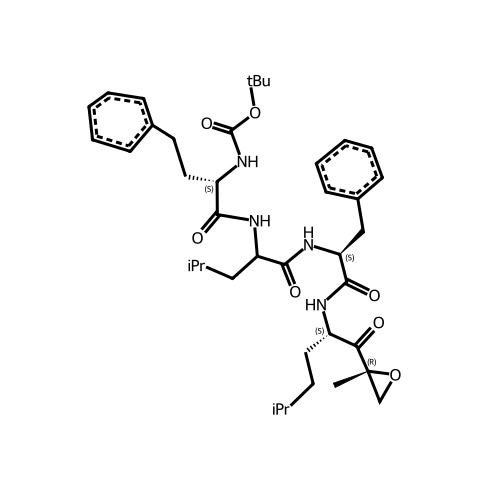 CC(C)CC[C@H](NC(=O)[C@H](Cc1ccccc1)NC(=O)C(CC(C)C)NC(=O)[C@H](CCc1ccccc1)NC(=O)OC(C)(C)C)C(=O)[C@@]1(C)CO1